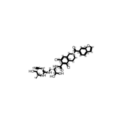 C[C@@H](CO)NC(=NC#N)NC[C@H](NC(=O)c1c(Cl)cc2c(c1Cl)CCN(C(=O)c1ccc3ccoc3c1)C2)C(O)O